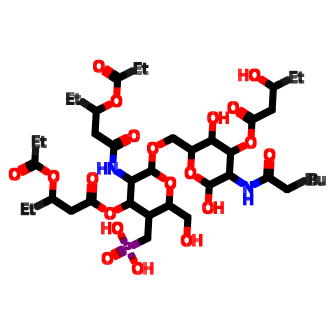 CCC(=O)OC(CC)CC(=O)NC1C(OCC2OC(O)C(NC(=O)CC(C)CC)C(OC(=O)CC(O)CC)C2O)OC(CO)C(CP(=O)(O)O)C1OC(=O)CC(CC)OC(=O)CC